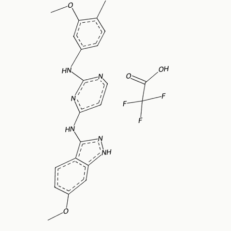 COc1ccc2c(Nc3ccnc(Nc4ccc(OC)c(OC)c4)n3)n[nH]c2c1.O=C(O)C(F)(F)F